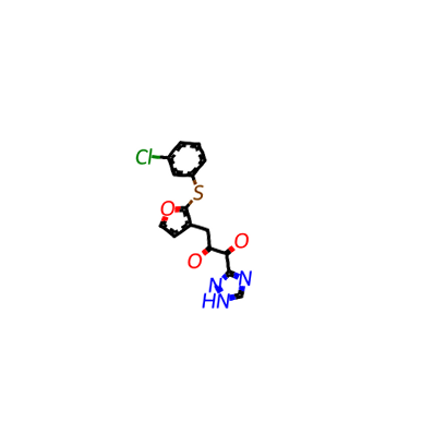 O=C(Cc1ccoc1Sc1cccc(Cl)c1)C(=O)c1nc[nH]n1